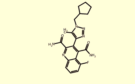 Cc1c(-c2c(C(N)=O)nc3cccc(F)c3c2C(N)=O)nnn1CC1CCCC1